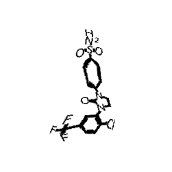 NS(=O)(=O)c1ccc(N2CCN(c3cc(C(F)(F)F)ccc3Cl)C2=O)cc1